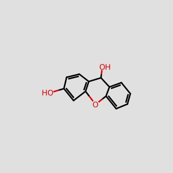 Oc1ccc2c(c1)Oc1ccccc1C2O